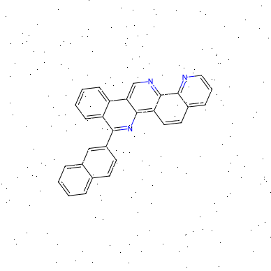 c1ccc2cc(-c3nc4c(cnc5c4ccc4cccnc45)c4ccccc34)ccc2c1